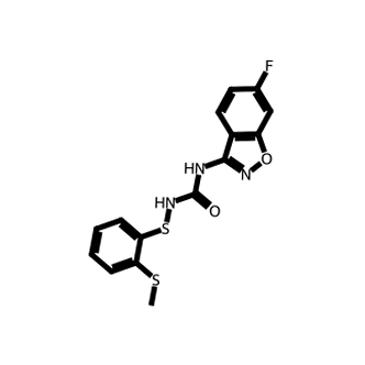 CSc1ccccc1SNC(=O)Nc1noc2cc(F)ccc12